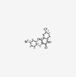 O=c1[nH]c2ccc(C(F)(F)F)cc2c(=O)n1Cc1ccc(Br)cc1